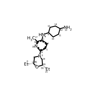 CC[C@@H]1CN(c2ccc(NC3CCC(N)CC3)c(C)n2)C[C@H](CC)O1